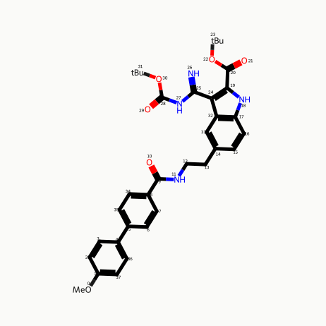 COc1ccc(-c2ccc(C(=O)NCCc3ccc4[nH]c(C(=O)OC(C)(C)C)c(C(=N)NC(=O)OC(C)(C)C)c4c3)cc2)cc1